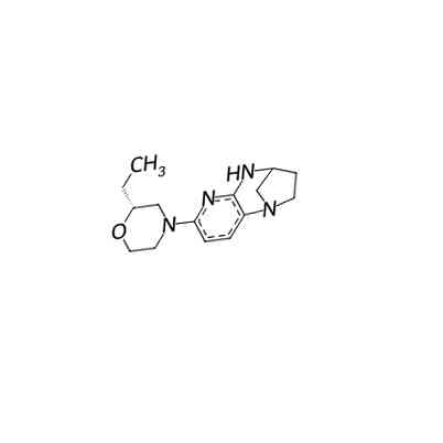 CC[C@@H]1CN(c2ccc3c(n2)NC2CCN3C2)CCO1